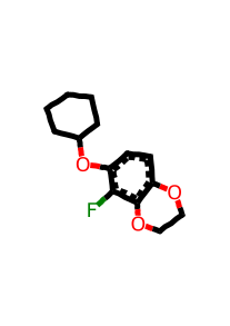 Fc1c(OC2CCCCC2)ccc2c1OCCO2